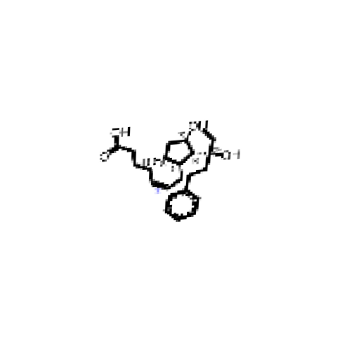 CC[C@](O)(CCc1ccccc1)[C@@H]1[C@@H](C/C=C\CCCC(=O)O)[C@H](O)C[C@H]1O